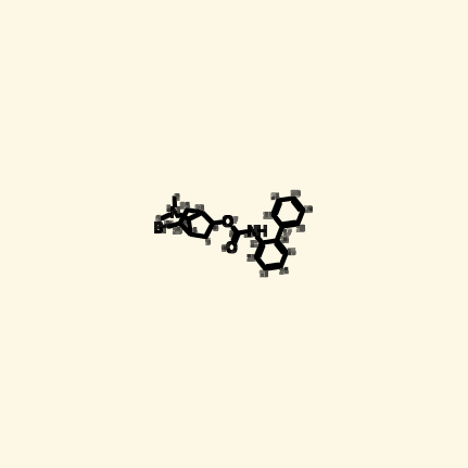 CN(C)C1C2CC(OC(=O)Nc3ccccc3-c3ccccc3)C1CC2Br